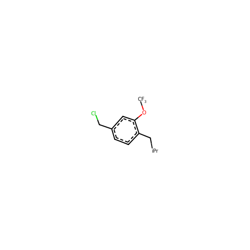 CC(C)Cc1ccc(CCl)cc1OC(F)(F)F